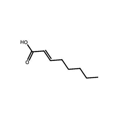 CCCCCC=CC(=O)O